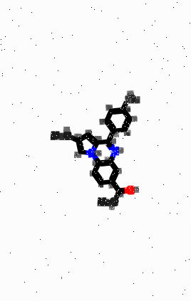 COC(=O)c1ccc2c(c1)nc(-c1ccc(C(C)(C)C)cc1)c1cc(OC)cn12